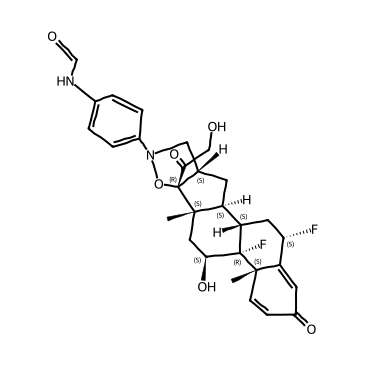 C[C@]12C=CC(=O)C=C1[C@@H](F)C[C@H]1[C@@H]3C[C@H]4CN(c5ccc(NC=O)cc5)O[C@@]4(C(=O)CO)[C@@]3(C)C[C@H](O)[C@@]12F